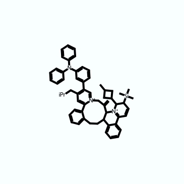 C=C1C[n+]2cc(-c3cccc(N(c4ccccc4)c4ccccc4)c3)c(CC(C)C)cc2-c2ccccc2CCC2c3ccccc3C3=[N+](C12)C(C1CC(C)C1)C([Si](C)(C)C)C=C3